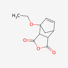 CCOC12C=CC(C1)C1C(=O)OC(=O)C12